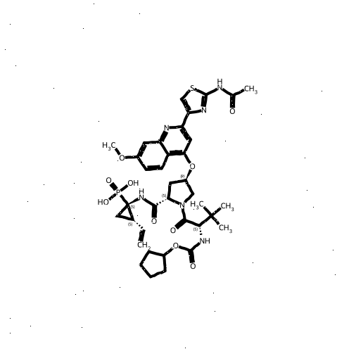 C=C[C@@H]1C[C@]1(NC(=O)[C@@H]1C[C@@H](Oc2cc(-c3csc(NC(C)=O)n3)nc3cc(OC)ccc23)CN1C(=O)[C@@H](NC(=O)OC1CCCC1)C(C)(C)C)P(=O)(O)O